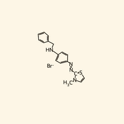 Cn1ccs[c+]1N=Nc1ccc(NCc2ccccc2)cc1.[Br-]